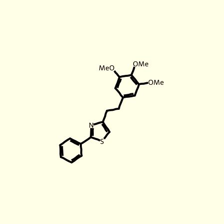 COc1cc(CCc2csc(-c3ccccc3)n2)cc(OC)c1OC